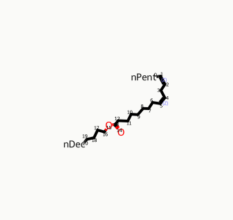 CCCCC/C=C\C/C=C\CCCCCCCC(=O)OCCCCCCCCCCCCCC